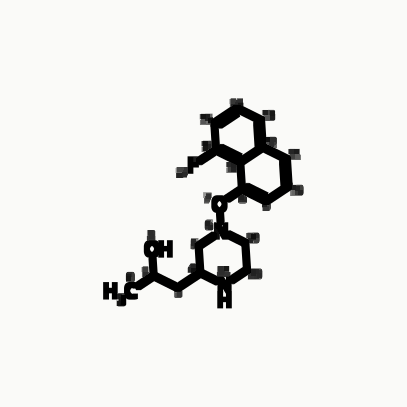 CC(O)CC1CN(Oc2cccc3cccc(F)c23)CCN1